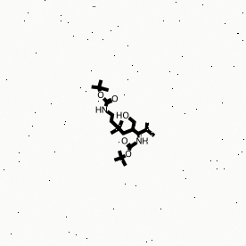 CC(C)[C@@H](NC(=O)OC(C)(C)C)C(CO)CC(C)(C)CCNC(=O)OC(C)(C)C